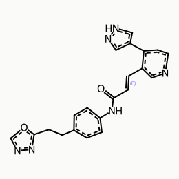 O=C(/C=C/c1cnccc1-c1cn[nH]c1)Nc1ccc(CCc2nnco2)cc1